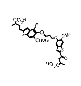 COc1cc2sc(C(=O)CC(C)C(=O)O)cc2cc1OCCCOc1c(OC)cc2sc(CCC(C)C(=O)O)cc2c1F